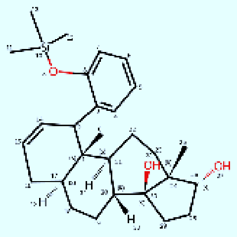 C[C@]12C(c3ccccc3O[Si](C)(C)C)C=CC[C@@H]1CC[C@@H]1[C@@H]2CC[C@]2(C)[C@H](O)CC[C@]12O